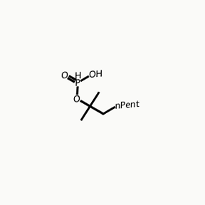 CCCCCCC(C)(C)O[PH](=O)O